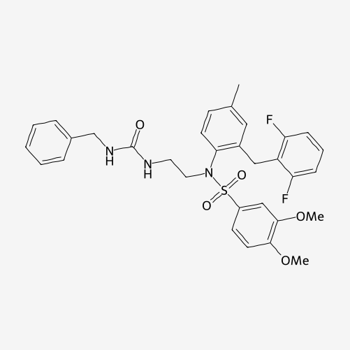 COc1ccc(S(=O)(=O)N(CCNC(=O)NCc2ccccc2)c2ccc(C)cc2Cc2c(F)cccc2F)cc1OC